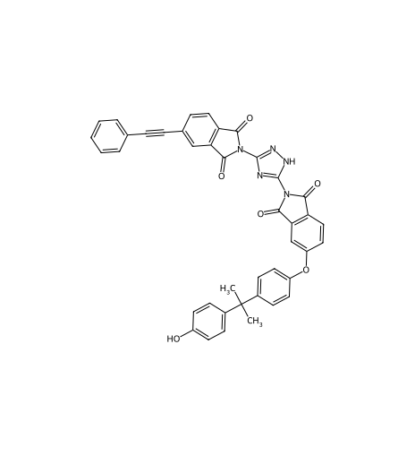 CC(C)(c1ccc(O)cc1)c1ccc(Oc2ccc3c(c2)C(=O)N(c2nc(N4C(=O)c5ccc(C#Cc6ccccc6)cc5C4=O)n[nH]2)C3=O)cc1